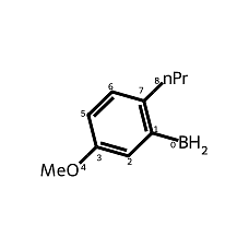 Bc1cc(OC)ccc1CCC